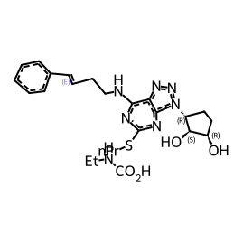 CCCSc1nc(NCC/C=C/c2ccccc2)c2nnn([C@@H]3CC[C@@H](O)[C@H]3O)c2n1.CCNC(=O)O